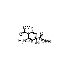 COC(=O)C1C=CC(Br)(C(=O)OC)C=C1N